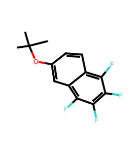 CC(C)(C)Oc1ccc2c(F)c(F)c(F)c(F)c2c1